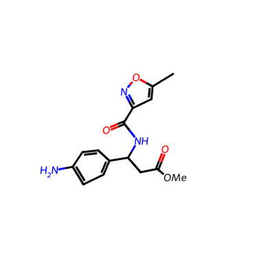 COC(=O)CC(NC(=O)c1cc(C)on1)c1ccc(N)cc1